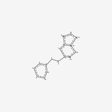 c1ccc(CSc2cc3ncnn3cn2)cc1